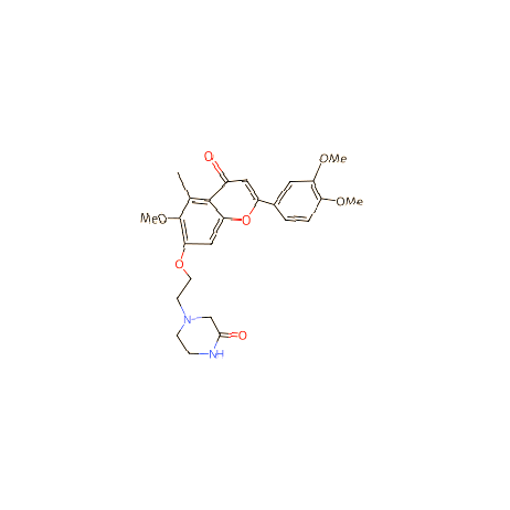 COc1ccc(-c2cc(=O)c3c(C)c(OC)c(OCCN4CCNC(=O)C4)cc3o2)cc1OC